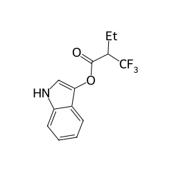 CCC(C(=O)Oc1c[nH]c2ccccc12)C(F)(F)F